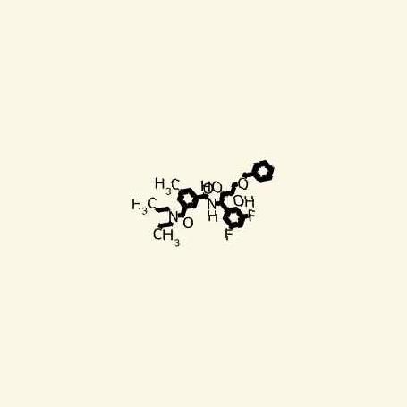 CCCN(CCC)C(=O)c1cc(C)cc(C(=O)NC(c2cc(F)cc(F)c2)[C@@H](O)C(O)COCc2ccccc2)c1